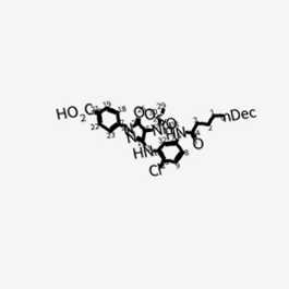 CCCCCCCCCCCCCC(=O)Nc1ccc(Cl)c(NC2=NN(c3ccc(C(=O)O)cc3)C(=O)C2NS(C)(=O)=O)c1